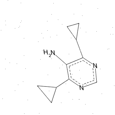 Nc1c(C2CC2)ncnc1C1CC1